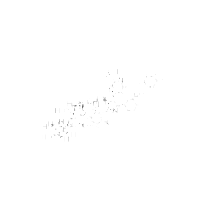 CSc1nccc(-c2c(-c3cccc(OCc4ccccc4)c3)nc(-c3c(Cl)cc(OC(CO[Si](C)(C)C(C)(C)C)C(O[SiH](C)C)C(C)(C)C)cc3Cl)n2O)n1